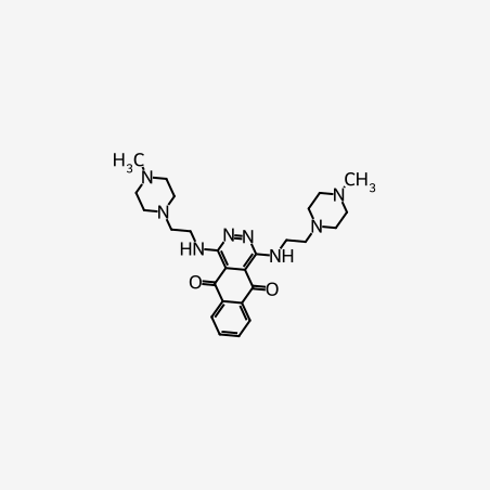 CN1CCN(CCNc2nnc(NCCN3CCN(C)CC3)c3c2C(=O)c2ccccc2C3=O)CC1